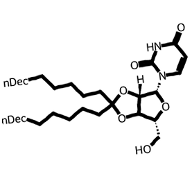 CCCCCCCCCCCCCCCC1(CCCCCCCCCCCCCCC)OC2[C@@H](CO)O[C@@H](n3ccc(=O)[nH]c3=O)[C@H]2O1